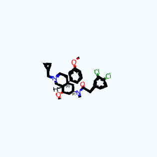 COc1cccc([C@@]23CCN(CC4CC4)C[C@H]2C(OC)C[C@H](N(C)C(=O)Cc2ccc(Cl)c(Cl)c2)C3)c1